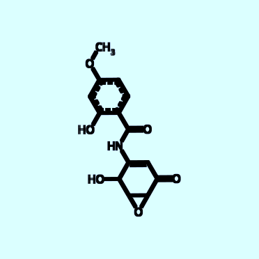 COc1ccc(C(=O)NC2=CC(=O)C3OC3C2O)c(O)c1